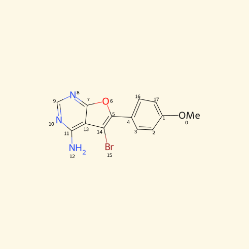 COc1ccc(-c2oc3ncnc(N)c3c2Br)cc1